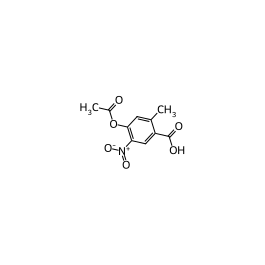 CC(=O)Oc1cc(C)c(C(=O)O)cc1[N+](=O)[O-]